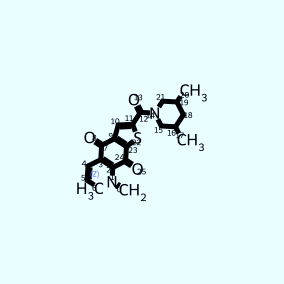 C=NC1=C(/C=C\C)C(=O)c2cc(C(=O)N3CC(C)CC(C)C3)sc2C1=O